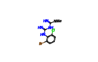 CNC(=N)NC(=N)Nc1c(Cl)cccc1Br